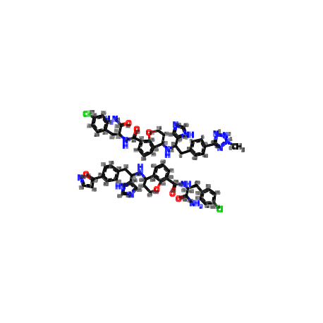 Cn1nnc(-c2ccc(CC(NC3CCOc4c(C(=O)N[C@@H](Cc5ccc(Cl)cc5)C(N)=O)cccc43)c3cnc[nH]3)cc2)n1.NC(=O)[C@H](Cc1ccc(Cl)cc1)NC(=O)c1cccc2c1OCCC2NC(Cc1ccc(-c2ccno2)cc1)c1cnc[nH]1